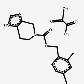 Cc1ccc(COC(=O)N2CCc3[nH]cnc3C2)c(C)c1.O=C(O)C(=O)O